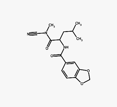 CC(C)CC(NC(=O)c1ccc2c(c1)OCO2)C(=O)N(C)C#N